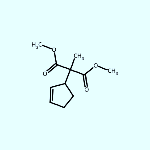 COC(=O)C(C)(C(=O)OC)C1C=CCC1